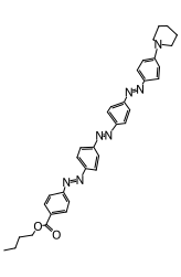 CCCCOC(=O)c1ccc(N=Nc2ccc(N=Nc3ccc(N=Nc4ccc(N5CCCCC5)cc4)cc3)cc2)cc1